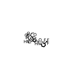 CN1C(=N)N[C@@]2(c3sc(C(=O)Nc4cccc(C(F)(F)F)n4)cc3Cl)COCCC2S1(=O)=O